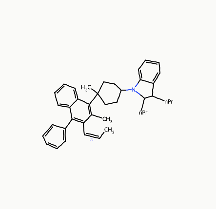 C/C=C\c1c(C)c(C2(C)CCC(N3c4ccccc4C(CCC)C3CCC)CC2)c2ccccc2c1-c1ccccc1